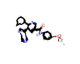 O=C(Nc1ccc(OC(F)(F)F)cc1)c1cnc(C2=CCCCC2)c(-c2cncnc2)c1